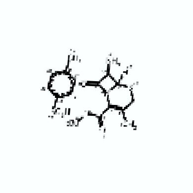 CC1=C(C(=O)OC(C)(C)C)N2C(=O)C(N)[C@@H]2SC1.Cc1ccc(S(=O)(=O)O)cc1